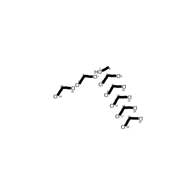 CO.ClCCl.ClCCl.ClCCl.ClCCl.ClCCl.ClCCl.ClCCl